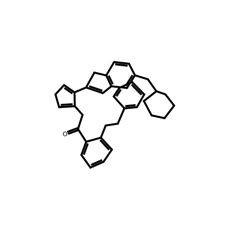 O=C(CC1=CCC=C1C1=Cc2cc(CC3CCCCC3)ccc2C1)c1ccccc1CCc1ccccc1